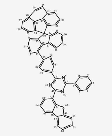 c1ccc(-c2nc(-c3ccc(-c4cccc5c4-c4ccccc4C54c5cccc6ccc7cccc4c7c56)cc3)nc(-c3cccc4c3sc3ccccc34)n2)cc1